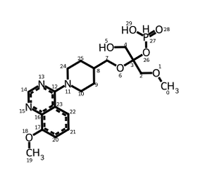 COCC(CO)(OCC1CCN(c2ncnc3c(OC)cccc23)CC1)O[PH](=O)O